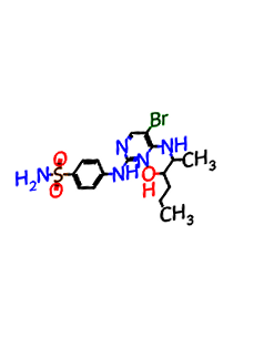 CCCC(O)C(C)Nc1nc(Nc2ccc(S(N)(=O)=O)cc2)ncc1Br